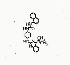 CN(C)c1nc(N[C@H]2CC[C@@H](NC(=O)Nc3cccc4ccccc34)CC2)nc2ccccc12